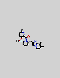 CCOc1ccc(C)nc1C(=O)N1CCCC[C@H]1Cc1cn2ccc(C)c(C)c2n1